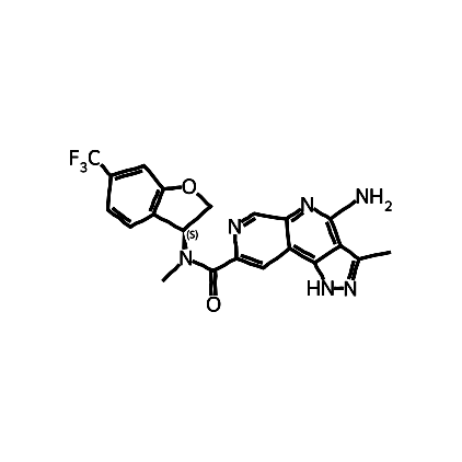 Cc1n[nH]c2c1c(N)nc1cnc(C(=O)N(C)[C@@H]3COc4cc(C(F)(F)F)ccc43)cc12